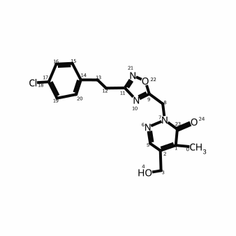 Cc1c(CO)cnn(Cc2nc(CCc3ccc(Cl)cc3)no2)c1=O